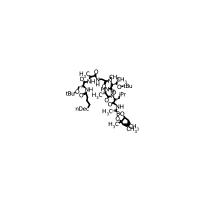 CCCCCCCCCCCCCC(=O)N[C@H](COC(C)(C)C)C(=O)N[C@H](C)C(=O)NCC(=O)N(C)[C@H](C(=O)N[C@@H](C)C(=O)N[C@@H](CC(C)C)C(=O)N[C@@H](C)B1OC2C3CCC(C3(C)C)C2(C)O1)C(C)OC(C)(C)C